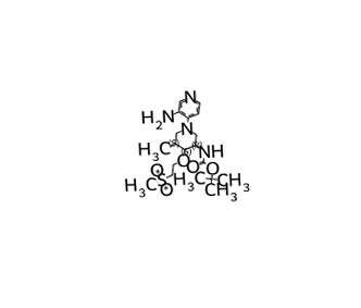 C[C@H]1CN(c2ccncc2N)C[C@@H](NC(=O)OC(C)(C)C)[C@H]1OCCS(C)(=O)=O